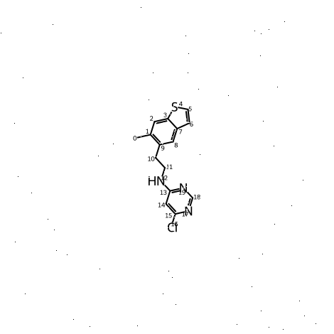 Cc1cc2sccc2cc1CCNc1cc(Cl)ncn1